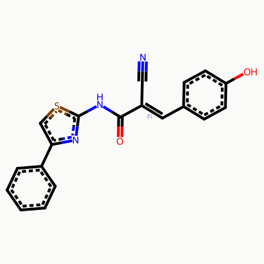 N#C/C(=C\c1ccc(O)cc1)C(=O)Nc1nc(-c2ccccc2)cs1